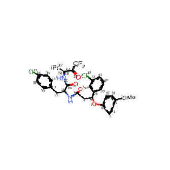 COc1ccc(OC(CC(=O)NC(Cc2ccc(Cl)cc2)C(=O)N[C@H](C(=O)C(F)(F)F)C(C)C)c2cccc(Cl)c2)cc1